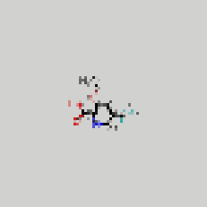 CCOc1cc(C(F)(F)F)cnc1C(=O)O